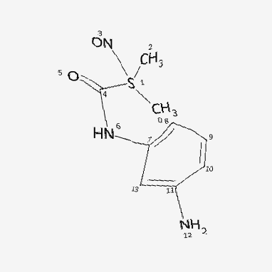 CS(C)(N=O)C(=O)Nc1cccc(N)c1